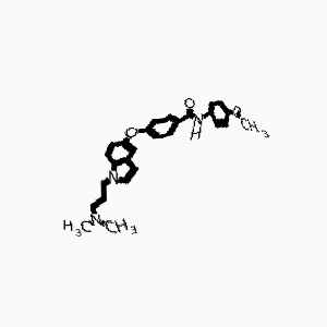 COc1ccc(NC(=O)c2ccc(Oc3ccc4c(ccn4CCCN(C)C)c3)cc2)cc1